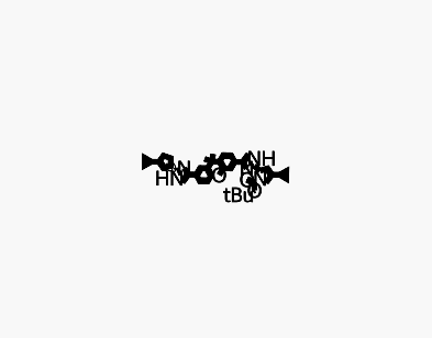 CC(C)(C)OC(=O)N1CC(C2CC2)=CC1c1nc(-c2ccc3c(c2)Oc2ccc(-c4c[nH]c([C@@H]5C=C(C6CC6)CC5)n4)cc2C3(C)C)c[nH]1